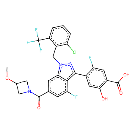 COC1CN(C(=O)c2cc(F)c3c(-c4cc(O)c(C(=O)O)cc4F)nn(Cc4c(Cl)cccc4C(F)(F)F)c3c2)C1